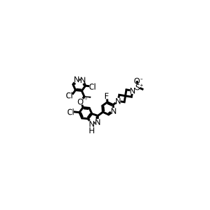 C[C@@H](Oc1cc2c(-c3cnc(N4CC5(C4)CN([S+](C)[O-])C5)c(F)c3)n[nH]c2cc1Cl)c1c(Cl)cnnc1Cl